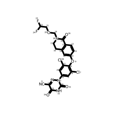 N#Cc1nn(-c2cc(Cl)c(Oc3ccc4c(c3)CCN(COCC(F)F)C4=O)c(Cl)c2)c(=O)[nH]c1=O